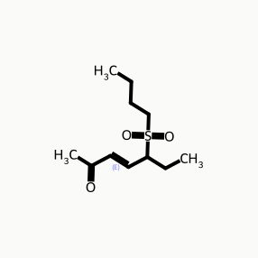 CCCCS(=O)(=O)C(/C=C/C(C)=O)CC